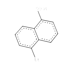 CCc1cccc2c(S(=O)(=O)O)cccc12